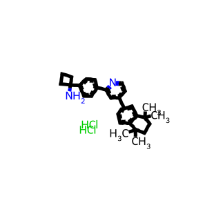 CC1(C)CCC(C)(C)c2cc(-c3ccnc(-c4ccc(C5(N)CCC5)cc4)c3)ccc21.Cl.Cl